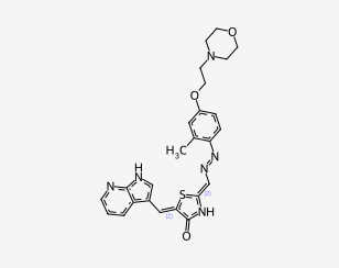 Cc1cc(OCCN2CCOCC2)ccc1N=N/C=c1/[nH]c(=O)/c(=C/c2c[nH]c3ncccc23)s1